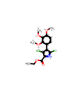 CCOC(=O)c1[nH]c(Cl)c(-c2ccc(OC)c(OC)c2OC)c1Br